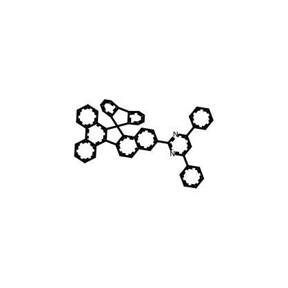 c1ccc(-c2cc(-c3ccccc3)nc(-c3ccc4c5c(ccc4c3)-c3c(c4ccccc4c4ccccc34)C53c4ccccc4-c4ccccc43)n2)cc1